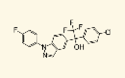 OC(c1ccc(Cl)cc1)(c1ccc2c(cnn2-c2ccc(F)cc2)c1)C(F)(F)F